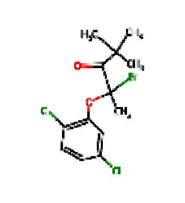 CC(C)(C)C(=O)C(C)(Br)Oc1cc(Cl)ccc1Cl